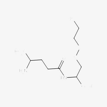 NC(CCC(=O)NC(CSSCCS)C(=O)O)C(=O)O